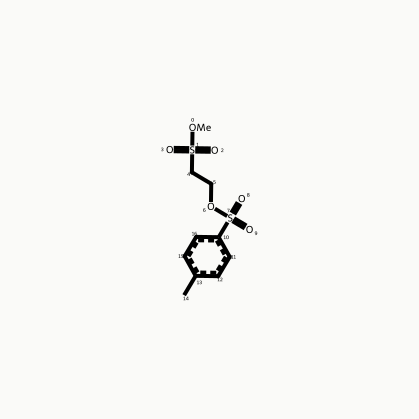 COS(=O)(=O)CCOS(=O)(=O)c1ccc(C)cc1